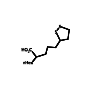 CCCCCCC(CCCC1CCSS1)C(=O)O